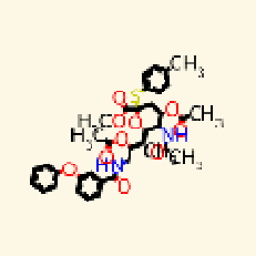 COC(=O)[C@]1(Sc2ccc(C)cc2)C[C@H](OC(C)=O)[C@@H](NC(C)=O)[C@H]([C@H](C)[C@@H](CNC(=O)c2cccc(Oc3ccccc3)c2)OC(C)=O)O1